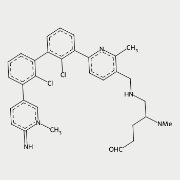 CNC(CCC=O)CNCc1ccc(-c2cccc(-c3cccc(-c4ccc(=N)n(C)c4)c3Cl)c2Cl)nc1C